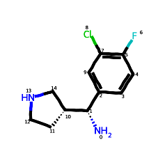 N[C@@H](c1ccc(F)c(Cl)c1)[C@@H]1CCNC1